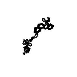 CCC(=O)NC1CCc2ccc(OCCNS(=O)(=O)c3ccn(C)c3)cc2C1Cc1ccccc1